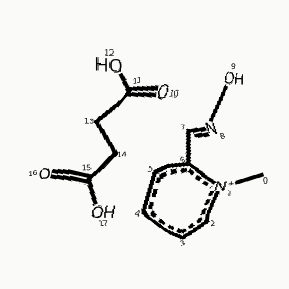 C[n+]1ccccc1C=NO.O=C(O)CCC(=O)O